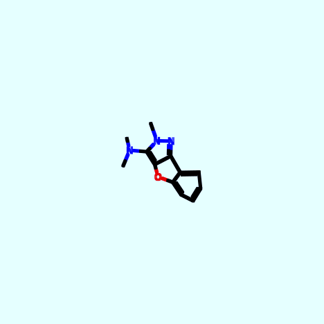 CN(C)c1c2oc3ccccc3c2nn1C